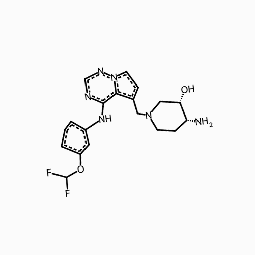 N[C@@H]1CCN(Cc2ccn3ncnc(Nc4cccc(OC(F)F)c4)c23)C[C@@H]1O